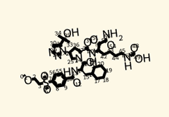 COCCS(=O)(=O)c1ccc(C(=O)N[C@H](CC2CCCCC2)C(=O)N2C[C@@H](n3nncc3C(C)(C)O)C[C@H]2C(=O)NC(CCCCNC(=O)O)C(=O)C(N)=O)cc1